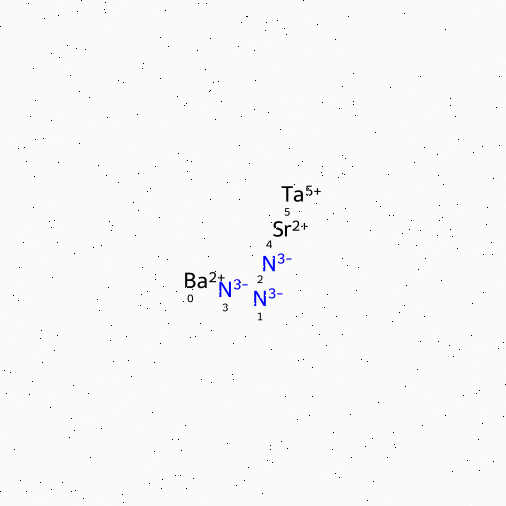 [Ba+2].[N-3].[N-3].[N-3].[Sr+2].[Ta+5]